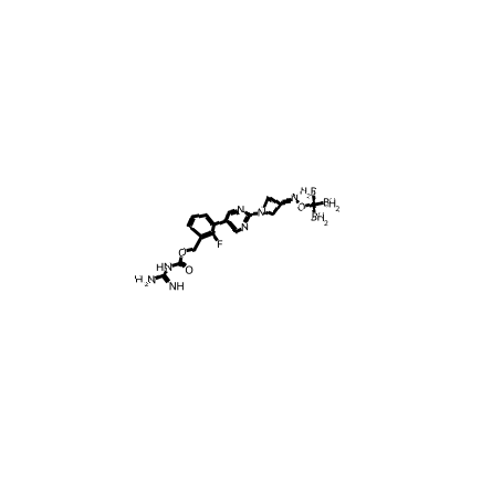 BC(B)(B)ON=C1CN(c2ncc(-c3cccc(COC(=O)NC(=N)N)c3F)cn2)C1